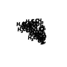 CC[C@H](C)[C@@H]([C@@H](CC(=O)N1CCC[C@H]1[C@H](OC)[C@@H](C)C(=O)N[C@@H](Cc1ccccc1)C(=O)NS(=O)(=O)C1CC1)OC)N(C)C(=O)[C@@H](NC(C)=O)C(C)C